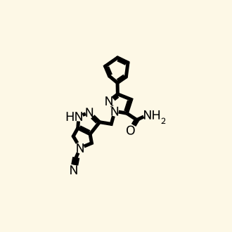 N#CN1Cc2[nH]nc(Cn3nc(-c4ccccc4)cc3C(N)=O)c2C1